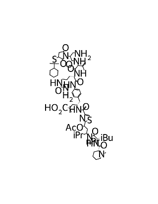 C=C(C)[C@H](NC(=O)C(CN)N1C(=O)CC(SC(C)(C)C2CCCCC2)C1=O)C(=O)N[C@@H](CCCNC(N)=O)C(=O)Nc1ccc(C[C@@H](C[C@H](C)C(=O)O)NC(=O)c2csc([C@@H](C[C@H](C(C)C)N(CCC)C(=O)[C@@H](NC(=O)[C@H]3CCCCN3C)[C@@H](C)CC)OC(C)=O)n2)cc1